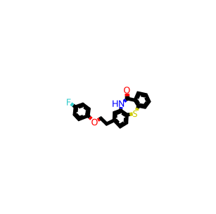 O=C1Nc2cc(CCOc3ccc(F)cc3)ccc2Sc2ccccc21